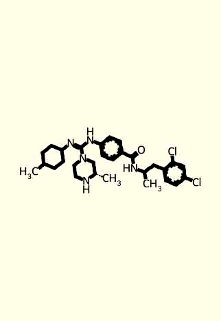 CC1CCC(/N=C(/Nc2ccc(C(=O)NC(C)Cc3ccc(Cl)cc3Cl)cc2)N2CCN[C@@H](C)C2)CC1